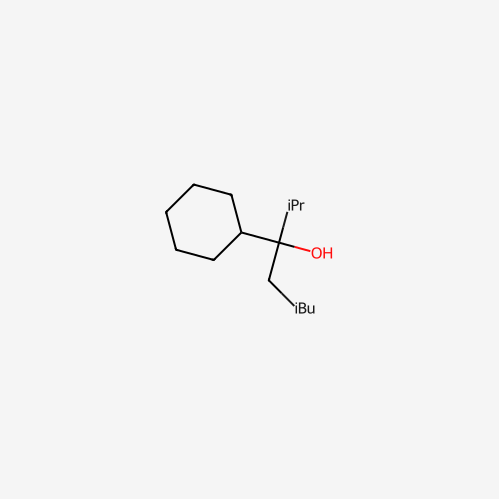 CCC(C)CC(O)(C(C)C)C1CCCCC1